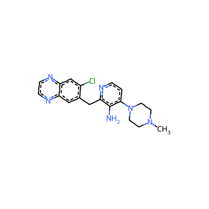 CN1CCN(c2ccnc(Cc3cc4nccnc4cc3Cl)c2N)CC1